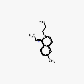 C/N=c1/c2ccc(C)cc2ccn1CCC(C)(C)C